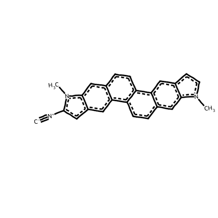 [C-]#[N+]c1cc2cc3c(ccc4c5cc6ccn(C)c6cc5ccc34)cc2n1C